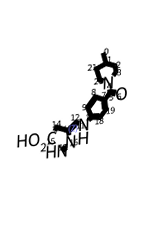 CC1CCN(C(=O)c2ccc(N/C=C(/CC(=O)O)N=N)cc2)CC1